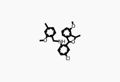 COc1cc(C)ccc1CNc1ccc(Cl)cc1C1OC(C)c2c(OC)cccc21